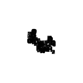 COc1ccc(-c2nn(C3CCN(C(=O)[C@@H]4CCC(=O)O4)CC3)c3ncnc(N)c23)cc1OC